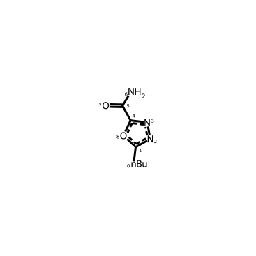 CCCCc1nnc(C(N)=O)o1